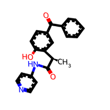 C[C@@H](C(=O)Nc1ccncc1)c1cc(C(=O)c2ccccc2)ccc1O